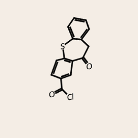 O=C(Cl)c1ccc2c(c1)C(=O)Cc1ccccc1S2